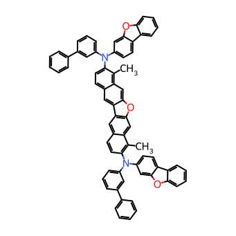 Cc1c(N(c2cccc(-c3ccccc3)c2)c2ccc3c(c2)oc2ccccc23)ccc2cc3c(cc12)oc1cc2c(C)c(N(c4cccc(-c5ccccc5)c4)c4ccc5c(c4)oc4ccccc45)ccc2cc13